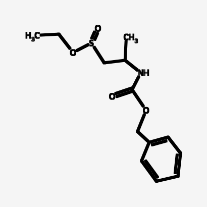 CCOS(=O)CC(C)NC(=O)OCc1ccccc1